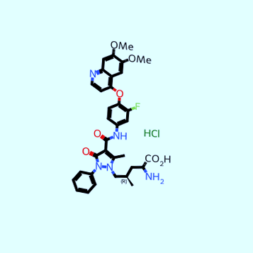 COc1cc2nccc(Oc3ccc(NC(=O)c4c(C)n(C[C@H](C)CC(N)C(=O)O)n(-c5ccccc5)c4=O)cc3F)c2cc1OC.Cl